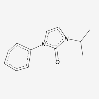 CC(C)n1ccn(-c2ccccc2)c1=O